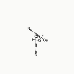 N#CC#CC(O)(I)OC(O)(I)C#CC#N